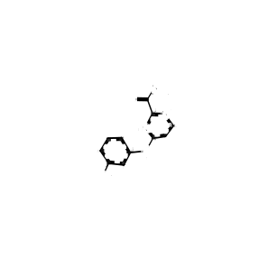 NC(=O)c1nccc(Oc2cccc(C(F)(F)F)c2)n1